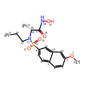 CCOc1ccc2ccc(S(=O)(=O)N(CCC(C)C)[C@@H](C(=O)NO)C(C)C)cc2c1